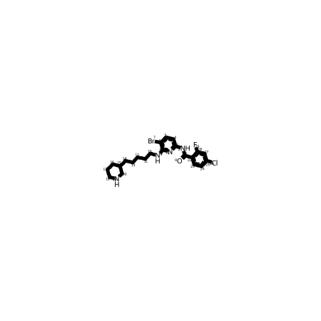 O=C(Nc1ccc(Br)c(NCCCCCC2CCCNC2)n1)c1ccc(Cl)cc1F